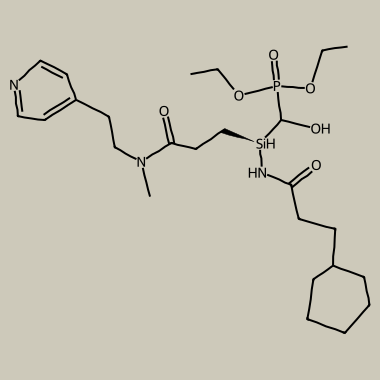 CCOP(=O)(OCC)C(O)[Si@H](CCC(=O)N(C)CCc1ccncc1)NC(=O)CCC1CCCCC1